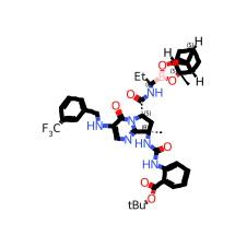 CC[C@H](NC(=O)[C@@H]1C[C@@](C)(NC(=O)Nc2ccccc2C(=O)OC(C)(C)C)c2ncc(NCc3cccc(C(F)(F)F)c3)c(=O)n21)B1O[C@@H]2C[C@@H]3C[C@@H](C3(C)C)[C@]2(C)O1